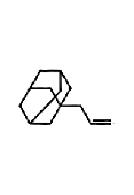 [CH]=CCC12CC3CC(CC(C3)C1)C2